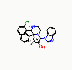 CC(O)C(N1CCNC(c2ccccc2Cl)C1(C)c1ccccc1)n1cnc2ccccc21